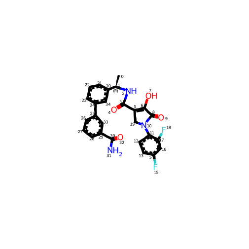 C[C@@H](NC(=O)C1=C(O)C(=O)N(c2ccc(F)cc2F)C1)c1cccc(-c2cccc(C(N)=O)c2)c1